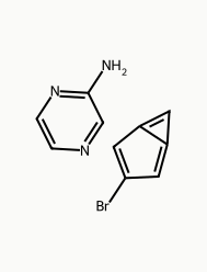 Brc1cc2cc-2c1.Nc1cnccn1